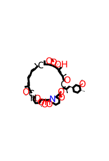 COC1C(=O)C(C)C[C@H](C)/C=C/C=C/C=C(\C)[C@@H](OC)C[C@@H]2CC[C@@H](C)[C@@](O)(O2)C(=O)C(=O)N2CCCCC2C(=O)OC([C@H](C)C[C@@H]2CC[C@@H](C)[C@H](OC)C2)CC(=O)[C@H](C)/C=C(\C)[C@H]1O